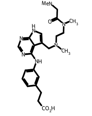 CNCC(=O)N(C)CCN(C)Cc1c[nH]c2ncnc(Nc3cccc(CCC(=O)O)c3)c12